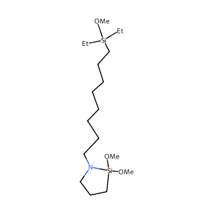 CC[Si](CC)(CCCCCCCCN1CCC[Si]1(OC)OC)OC